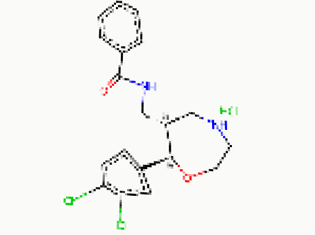 Cl.O=C(NC[C@@H]1CNCCO[C@H]1c1ccc(Cl)c(Cl)c1)c1ccccc1